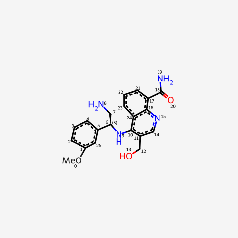 COc1cccc([C@@H](CN)Nc2c(CO)cnc3c(C(N)=O)cccc23)c1